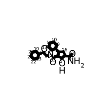 NC(=O)C1=C(O)c2c(c3ccccc3n(CC(=O)c3ccccc3)c2=O)C1